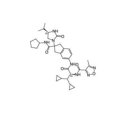 Cc1nonc1C(=O)N[C@H](C(=O)Nc1ccc2c(c1)CC(C(=O)NC1CCCC1)(N1C[C@@H](C(C)C)NC1=O)C2)C(C1CC1)C1CC1